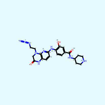 [N-]=[N+]=NCCN1CC(=O)Nc2ccc(Nc3ccc(C(=O)NC4CCNCC4)cc3O)nc21